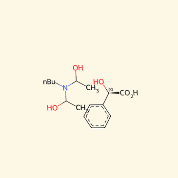 CCCCN(C(C)O)C(C)O.O=C(O)[C@H](O)c1ccccc1